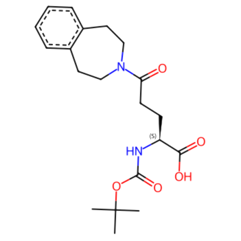 CC(C)(C)OC(=O)N[C@@H](CCC(=O)N1CCc2ccccc2CC1)C(=O)O